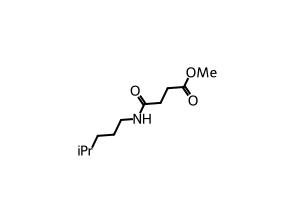 COC(=O)CCC(=O)NCCCC(C)C